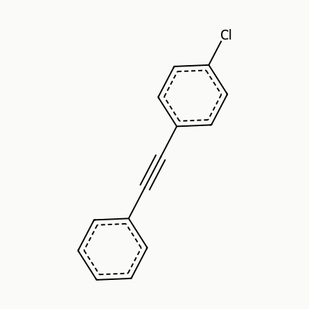 Clc1ccc(C#Cc2ccccc2)cc1